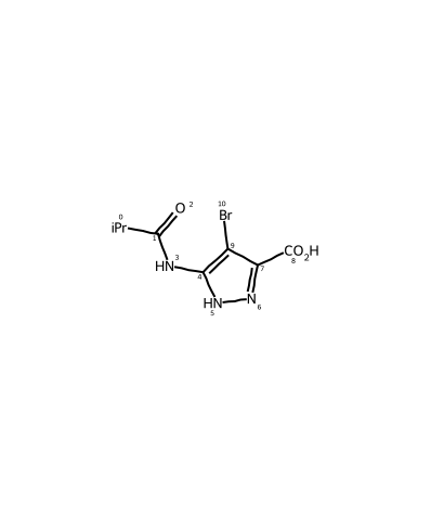 CC(C)C(=O)Nc1[nH]nc(C(=O)O)c1Br